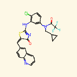 O=C1N=C(Nc2cc(N(CC3CC3)C(=O)C(F)(F)F)ccc2Cl)SC1=Cc1ccc2ncccc2c1